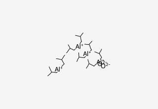 CC(C)[CH2][Al+][CH2]C(C)C.CC(C)[CH2][Al+][CH2]C(C)C.CC(C)[CH2][Al+][CH2]C(C)C.CC(C)[CH2][Al+][CH2]C(C)C.[O-2].[O-2]